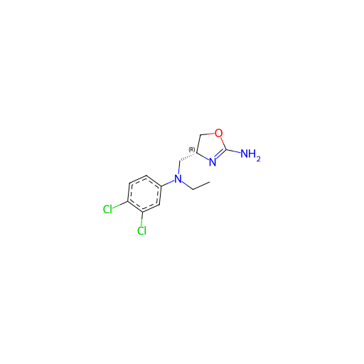 CCN(C[C@@H]1COC(N)=N1)c1ccc(Cl)c(Cl)c1